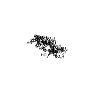 CC(C)C[C@H](NC(=O)[C@H](CCC(=O)O)NC(=O)[C@H](Cc1c[nH]c2ccccc12)NC(=O)[C@H](Cc1c[nH]c2ccccc12)NC(=O)[C@@H](NC(=O)[C@H](CC(C)C)NC(=O)[C@@H](N)Cc1ccc(O)cc1)[C@@H](C)O)C(=O)N[C@@H](Cc1c[nH]c2ccccc12)C(=O)NCC(=O)N[C@@H](CCC(=O)O)C(=O)N[C@@H](CCC(=O)O)C(=O)N[C@@H](CCCNC(=N)N)C(=O)O